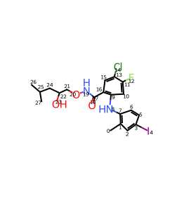 Cc1cc(I)ccc1Nc1cc(F)c(Cl)cc1C(=O)NOCC(O)CC(C)C